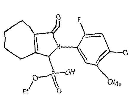 CCOP(=O)(O)C1C2=C(CCCC2)C(=O)N1c1cc(OC)c(Cl)cc1F